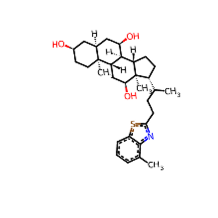 Cc1cccc2sc(CCC(C)[C@H]3CC[C@H]4[C@@H]5[C@H](O)C[C@@H]6C[C@H](O)CC[C@]6(C)[C@H]5C[C@H](O)[C@]34C)nc12